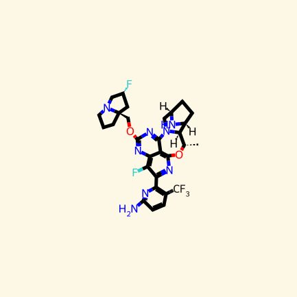 C[C@@H]1Oc2nc(-c3nc(N)ccc3C(F)(F)F)c(F)c3nc(OC[C@@]45CCCN4C[C@H](F)C5)nc(c23)N2C[C@H]3CC[C@H](N3)[C@@H]12